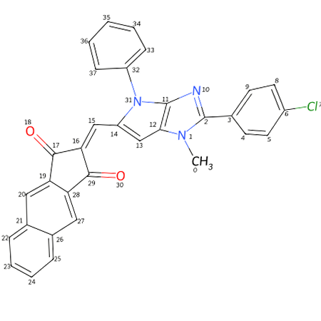 Cn1c(-c2ccc(Cl)cc2)nc2c1cc(C=C1C(=O)c3cc4ccccc4cc3C1=O)n2-c1ccccc1